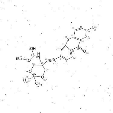 CC(C)(C)OC(O)NC1(C#Cc2ccc3c(=O)c4cc(O)ccc4sc3c2)COC(C)(C)OC1